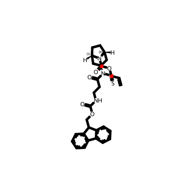 C=CCOC(=O)N1[C@@H]2CC[C@H]1C[C@@H](N(P=S)C(=O)CCNC(=O)OCC1c3ccccc3-c3ccccc31)C2